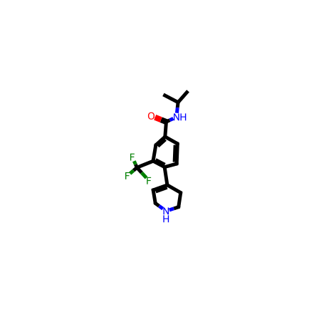 CC(C)NC(=O)c1ccc(C2=CCNCC2)c(C(F)(F)F)c1